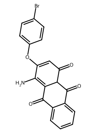 NC1=C2C(=O)c3ccccc3C(=O)C2C(=O)C=C1Oc1ccc(Br)cc1